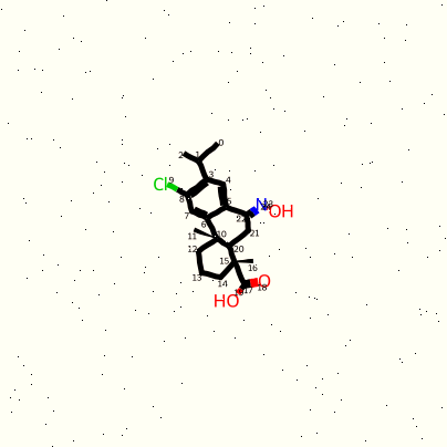 CC(C)c1cc2c(cc1Cl)[C@@]1(C)CCC[C@@](C)(C(=O)O)C1C/C2=N\O